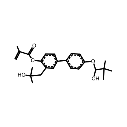 C=C(C)C(=O)Oc1ccc(-c2ccc(OC(O)C(C)(C)C)cc2)cc1CC(C)(C)O